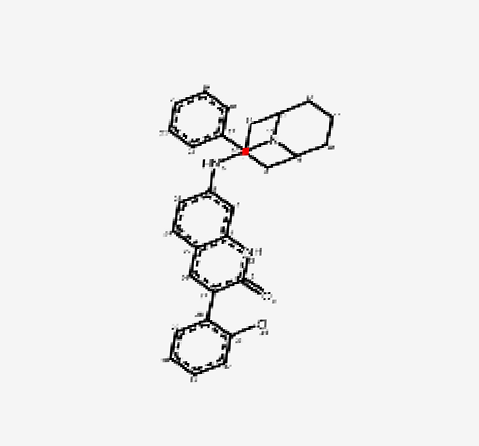 O=c1[nH]c2cc(NC3CC4CCCC(C3)N4Cc3ccccc3)ccc2cc1-c1ccccc1Cl